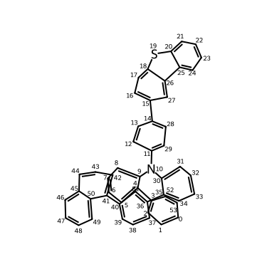 c1ccc(-c2ccccc2N(c2ccc(-c3ccc4sc5ccccc5c4c3)cc2)c2ccccc2-c2cccc(-c3cccc4ccccc34)c2)cc1